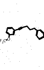 FC(F)(F)Oc1cccc(C#CCCCc2ccccc2)c1